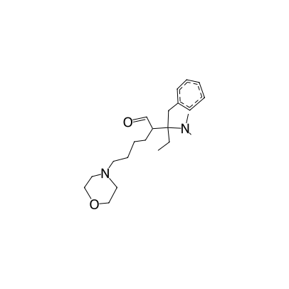 CCC(Cc1ccccc1)(C(C=O)CCCCN1CCOCC1)N(C)C